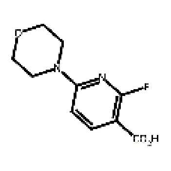 O=C(O)c1ccc(N2CCOCC2)nc1F